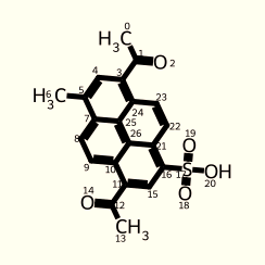 CC(=O)c1cc(C)c2ccc3c(C(C)=O)cc(S(=O)(=O)O)c4ccc1c2c34